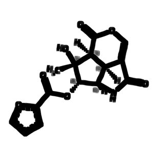 C[C@]1(O)[C@@H](OC(=O)c2ccco2)[C@H]2NC(=O)C3=COC(=O)[C@H]1[C@@H]32